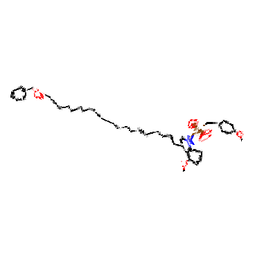 COc1ccc(CS(=O)(=O)n2cc(C=CCCCCCCCCCCCCCCCCOCc3ccccc3)c3c(OC)cccc32)cc1